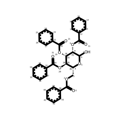 O=C(OC[C@H]1OC(O)[C@@H](OC(=O)c2ccccc2)[C@@H](OC(=O)c2ccccc2)[C@@H]1OC(=O)c1ccccc1)c1ccccc1